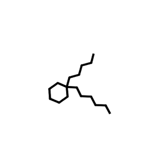 CCCCCCC1(CCCCC)CCCCC1